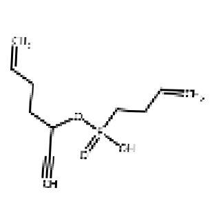 C#CC(CCC=C)OP(=O)(O)CCC=C